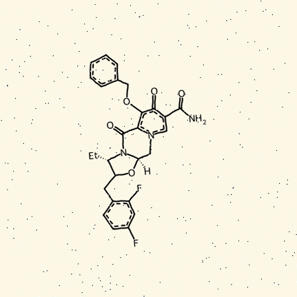 CC[C@H]1C(Cc2ccc(F)cc2F)O[C@@H]2Cn3cc(C(N)=O)c(=O)c(OCc4ccccc4)c3C(=O)N21